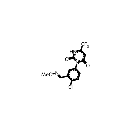 CO/N=C/c1cc(-n2c(=O)cc(C(F)(F)F)[nH]c2=O)ccc1Cl